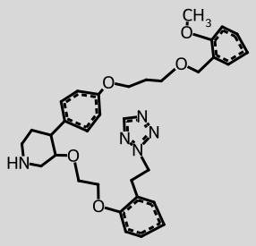 COc1ccccc1COCCCOc1ccc(C2CCNCC2OCCOc2ccccc2CCn2ncnn2)cc1